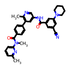 Cc1cccc(N(C)C(=O)c2ccc(-c3cc(NC(=O)c4cc(C#N)cc(N5CCCCC5)c4)cnc3C)cc2)n1